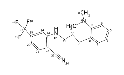 CN(C)c1ccccc1CCCNc1cc(C(F)(F)F)ccc1C#N